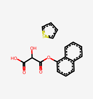 O=C(O)C(O)C(=O)Oc1cccc2ccccc12.c1ccsc1